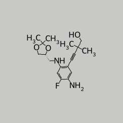 CC(C)(C#Cc1cc(N)c(F)cc1NC[C@@H]1COC(C)(C)O1)CO